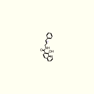 O=C(NC/C=C/c1ccccc1)c1ccc2cccnc2c1O